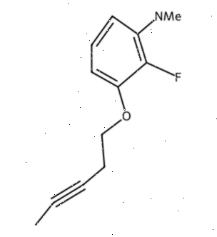 CC#CCCOc1cccc(NC)c1F